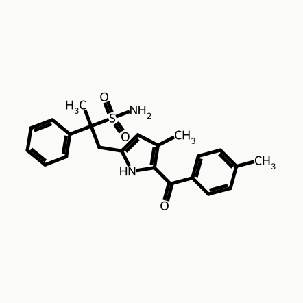 Cc1ccc(C(=O)c2[nH]c(CC(C)(c3ccccc3)S(N)(=O)=O)cc2C)cc1